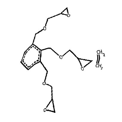 C=C.c1cc(COCC2CO2)c(COCC2CO2)c(COCC2CO2)c1